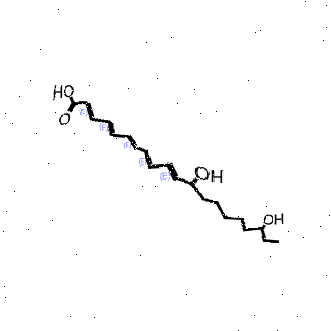 CCC(O)CCCCCC(O)/C=C/C=C/C=C/C=C/C=C/C(=O)O